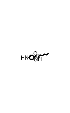 CCCCCOC(=O)C1(NC)C=CC(NC)=CC1